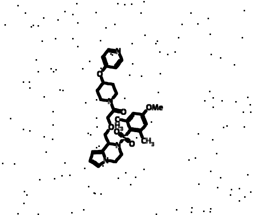 COc1cc(C)c(S(=O)(=O)N2CCn3cccc3C2COCC(=O)N2CCC(Oc3ccncc3)CC2)c(C)c1